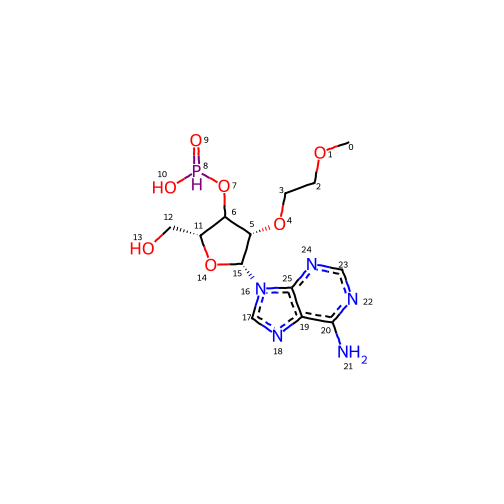 COCCO[C@H]1C(O[PH](=O)O)[C@@H](CO)O[C@H]1n1cnc2c(N)ncnc21